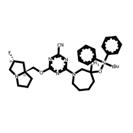 CC1(O[Si](c2ccccc2)(c2ccccc2)C(C)(C)C)CCCCN(c2nc(C#N)nc(OC[C@@]34CCCN3C[C@H](F)C4)n2)C1